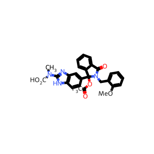 COc1ccccc1CN1C(=O)c2ccccc2C1(OC(=O)C(F)(F)F)c1ccc2[nH]c(N(C)C(=O)O)nc2c1